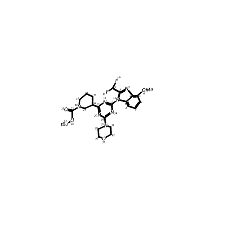 COc1cccc2c1nc(C(F)F)n2-c1nc(C2CCCN(C(=O)OC(C)(C)C)C2)nc(N2CCOCC2)n1